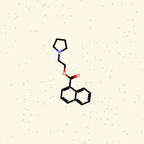 O=C(OCCN1CCCC1)c1cccc2ccccc12